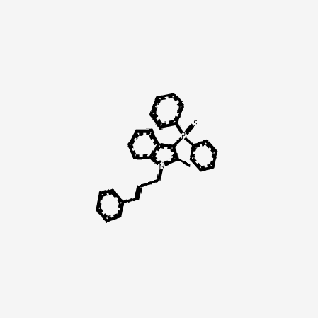 Cc1c(P(=S)(c2ccccc2)c2ccccc2)c2ccccc2n1CC=Cc1ccccc1